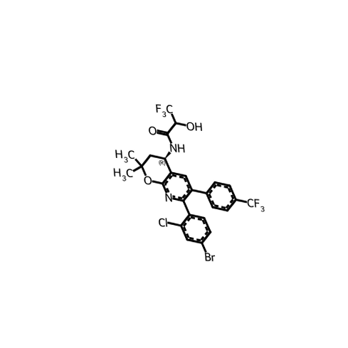 CC1(C)C[C@@H](NC(=O)C(O)C(F)(F)F)c2cc(-c3ccc(C(F)(F)F)cc3)c(-c3ccc(Br)cc3Cl)nc2O1